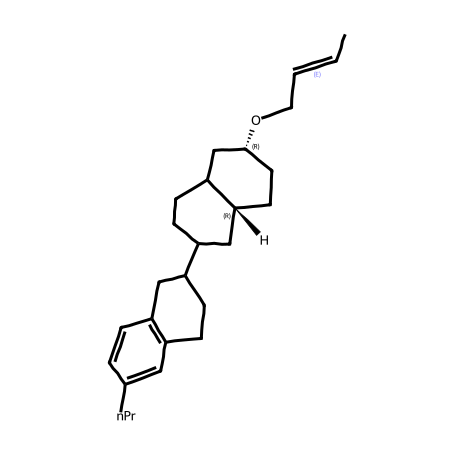 C/C=C/CO[C@@H]1CC[C@@H]2CC(C3CCc4cc(CCC)ccc4C3)CCC2C1